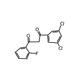 O=C(CC(=O)c1ccccc1F)c1cc(Cl)cc(Cl)c1